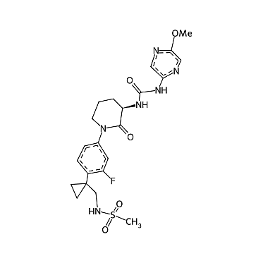 COc1cnc(NC(=O)N[C@@H]2CCCN(c3ccc(C4(CNS(C)(=O)=O)CC4)c(F)c3)C2=O)cn1